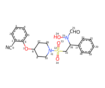 N#Cc1ccccc1OC1CCN(S(=O)(=O)CC(c2ccccc2)N(O)C=O)CC1